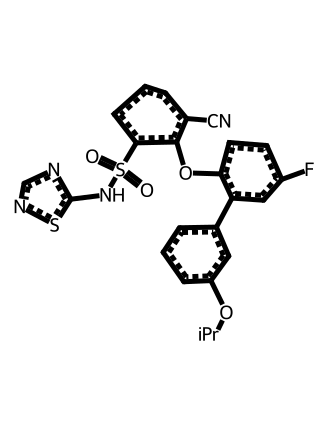 CC(C)Oc1cccc(-c2cc(F)ccc2Oc2c(C#N)cccc2S(=O)(=O)Nc2ncns2)c1